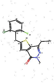 CC(C)Cc1nn(C)c(=O)c2cc(Cc3c(F)cccc3Cl)sc12